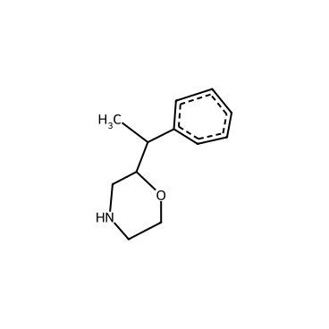 CC(c1ccccc1)C1CNCCO1